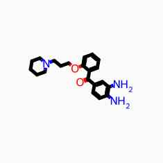 Nc1ccc(C(=O)c2ccccc2OCCCN2CCCCC2)cc1N